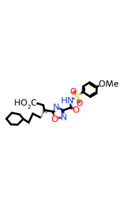 COc1ccc(S(=O)(=O)NC(=O)c2noc([C@H](CCCC3CCCCC3)CC(=O)O)n2)cc1